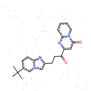 CC(C)(C)c1ccc2nc(CCC(=O)c3cc(=O)n4ccccc4n3)cn2c1